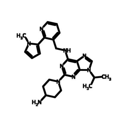 CC(C)n1cnc2c(NCc3cccnc3-c3cccn3C)nc(N3CCC(N)CC3)nc21